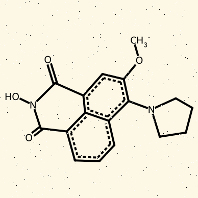 COc1cc2c3c(cccc3c1N1CCCC1)C(=O)N(O)C2=O